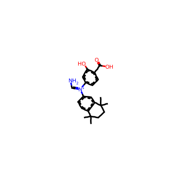 CC1(C)CCC(C)(C)c2cc([N+](=CN)c3ccc(C(=O)O)c(O)c3)ccc21